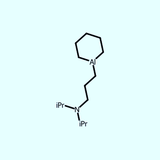 CC(C)N(CC[CH2][Al]1[CH2]CCC[CH2]1)C(C)C